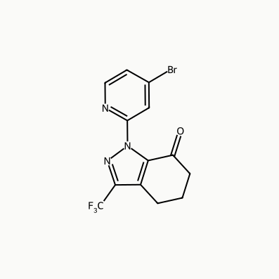 O=C1CCCc2c(C(F)(F)F)nn(-c3cc(Br)ccn3)c21